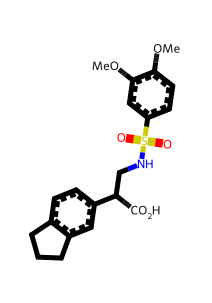 COc1ccc(S(=O)(=O)NCC(C(=O)O)c2ccc3c(c2)CCC3)cc1OC